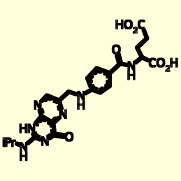 CC(C)Nc1nc(=O)c2nc(CNc3ccc(C(=O)NC(CCC(=O)O)C(=O)O)cc3)cnc2[nH]1